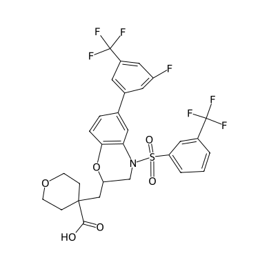 O=C(O)C1(CC2CN(S(=O)(=O)c3cccc(C(F)(F)F)c3)c3cc(-c4cc(F)cc(C(F)(F)F)c4)ccc3O2)CCOCC1